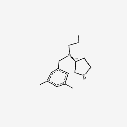 CCCN(Cc1cc(C)cc(C)c1)[C@H]1CCNC1